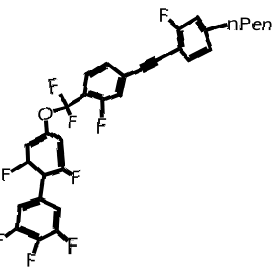 CCCCCc1ccc(C#Cc2ccc(C(F)(F)OC3=CC(F)C(c4cc(F)c(F)c(F)c4)C(F)=C3)c(F)c2)c(F)c1